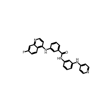 O=C(Nc1cccc(Nc2ccncc2)c1)c1cccc(Nc2ccnc3cc(F)ccc23)c1